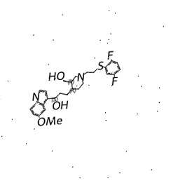 COc1ccc2nccc([C@@H](O)CC[C@@H]3CCN(CCSc4cc(F)ccc4F)C[C@@H]3CO)c2c1